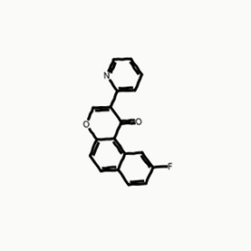 O=c1c(-c2ccccn2)coc2ccc3ccc(F)cc3c12